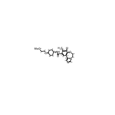 COCCOC1CCC(NC(=O)c2cc3c(c(Cl)c2C)OCCn2cncc2-3)CC1